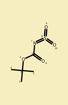 CC(C)(C)OC(=O)N=S(=O)=O